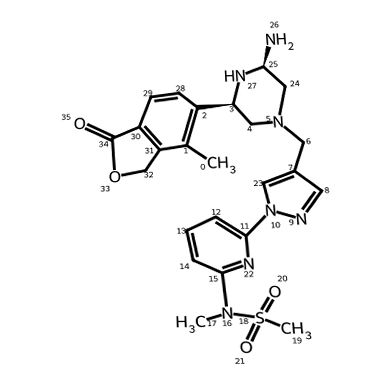 Cc1c([C@@H]2CN(Cc3cnn(-c4cccc(N(C)S(C)(=O)=O)n4)c3)C[C@H](N)N2)ccc2c1COC2=O